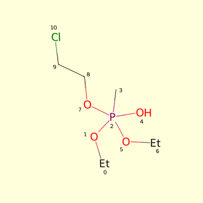 CCOP(C)(O)(OCC)OCCCl